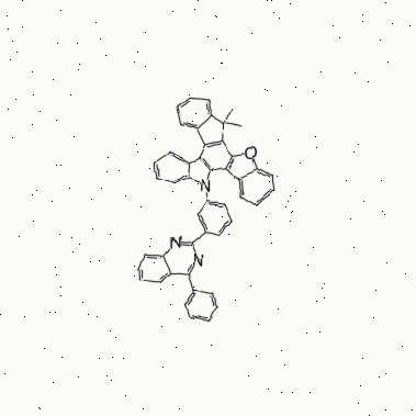 CC1(C)c2ccccc2-c2c1c1oc3ccccc3c1c1c2c2ccccc2n1-c1cccc(-c2nc(-c3ccccc3)c3ccccc3n2)c1